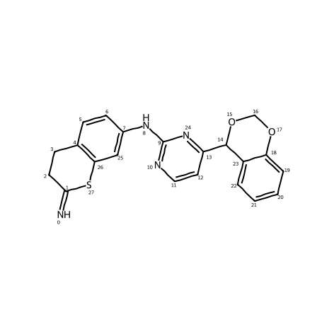 N=C1CCc2ccc(Nc3nccc(C4OCOc5ccccc54)n3)cc2S1